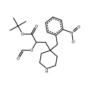 CC(C)(C)OC(=O)C(CC1(Cc2ccccc2[N+](=O)[O-])CCNCC1)OC=O